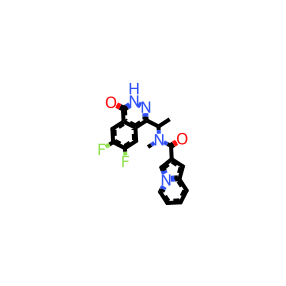 CC(c1n[nH]c(=O)c2cc(F)c(F)cc12)N(C)C(=O)c1cc2ccccn2c1